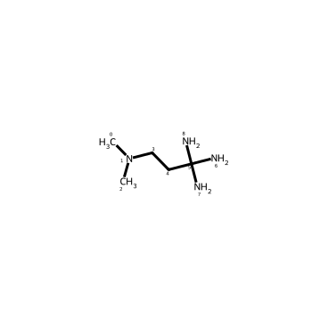 CN(C)CCC(N)(N)N